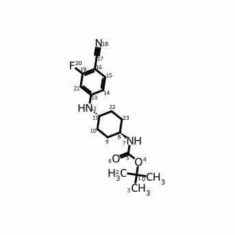 CC(C)(C)OC(=O)N[C@H]1CC[C@H](Nc2ccc(C#N)c(F)c2)CC1